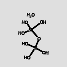 O.O[Si](O)(O)O[Si](O)(O)O